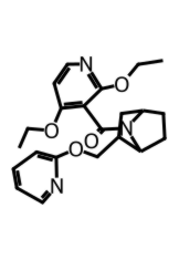 CCOc1ccnc(OCC)c1C(=O)N1C2CCC1C(COc1ccccn1)C2